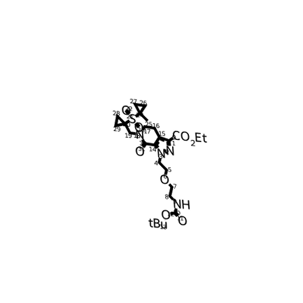 CCOC(=O)c1nn(CCOCCNC(=O)OC(C)(C)C)c2c1CCN(CC1(S(=O)(=O)C3(C)CC3)CC1)C2=O